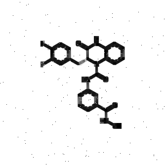 O=C(NO)c1cccc(NC(=O)N2c3ccccc3NC(=O)[C@H]2Cc2ccc(F)c(F)c2)c1